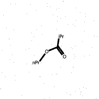 [CH2]CCOC(=O)C(C)C